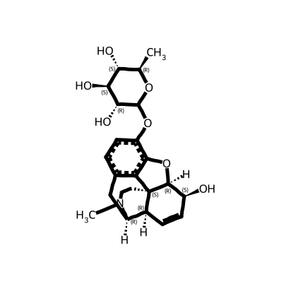 C[C@H]1OC(Oc2ccc3c4c2O[C@H]2[C@@H](O)C=C[C@H]5[C@@H](C3)N(C)CC[C@@]452)[C@H](O)[C@@H](O)[C@@H]1O